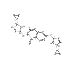 O=c1c2ccc(Sc3cnn(C4CC4)c3)cc2cnn1Cc1ccn(C2CC2)n1